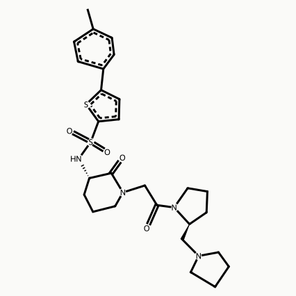 Cc1ccc(-c2ccc(S(=O)(=O)N[C@H]3CCCN(CC(=O)N4CCC[C@H]4CN4CCCC4)C3=O)s2)cc1